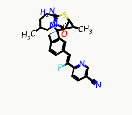 CC1CCCN(C(=O)[C@@]23SC(N)=N[C@@]4(Cc5ccc(/C=C(\F)c6ccc(C#N)cn6)cc54)C2C3C)C1